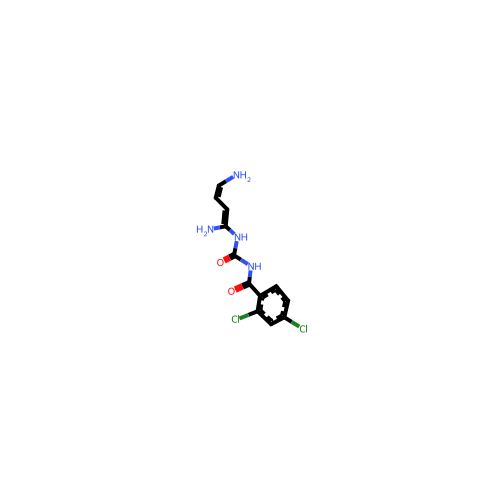 N/C=C\C=C(/N)NC(=O)NC(=O)c1ccc(Cl)cc1Cl